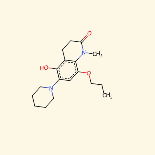 CCCOc1cc(N2CCCCC2)c(O)c2c1N(C)C(=O)CC2